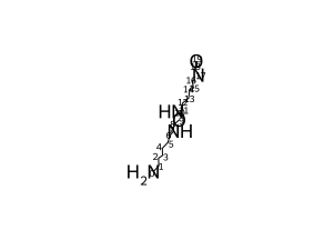 NCCCCCCNCONCCCCCCN=C=O